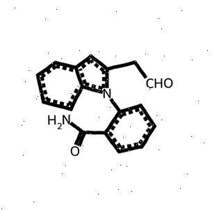 NC(=O)c1ccccc1-n1c(CC=O)cc2ccccc21